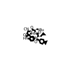 CC(C)(C)C[C@H](NC(=O)[C@H](CC1CC1)NC(=O)C1CCC2(CC1)CC2)C(=O)N1C[C@]2(C[C@H]1C#N)C(=O)Nc1ccccc12